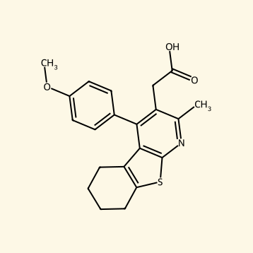 COc1ccc(-c2c(CC(=O)O)c(C)nc3sc4c(c23)CCCC4)cc1